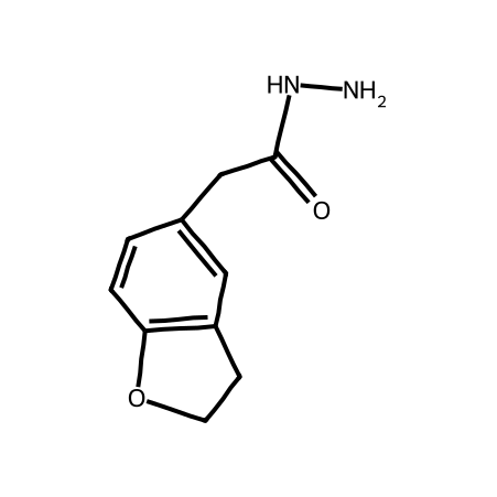 NNC(=O)Cc1ccc2c(c1)CCO2